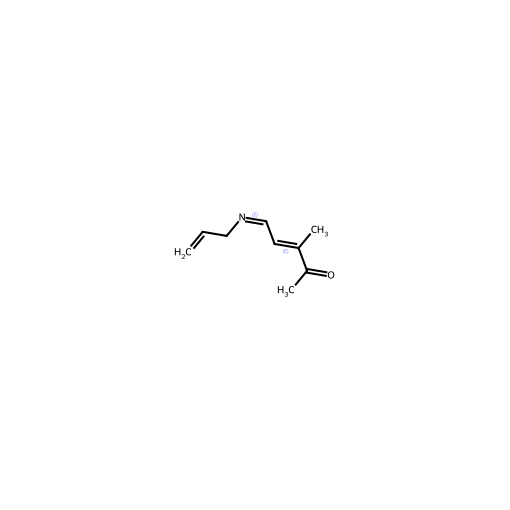 C=CC/N=C\C=C(/C)C(C)=O